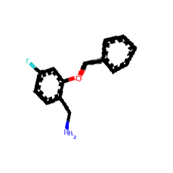 NCc1ccc(F)cc1OCc1ccccc1